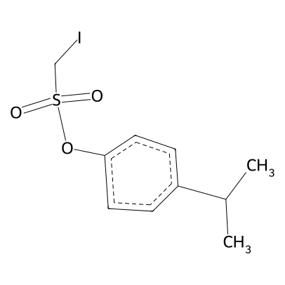 CC(C)c1ccc(OS(=O)(=O)CI)cc1